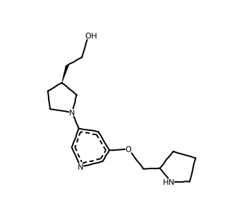 OCC[C@@H]1CCN(c2cncc(OCC3CCCN3)c2)C1